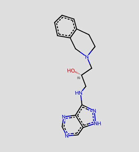 O[C@@H](CNc1n[nH]c2cncnc12)CN1CCc2ccccc2C1